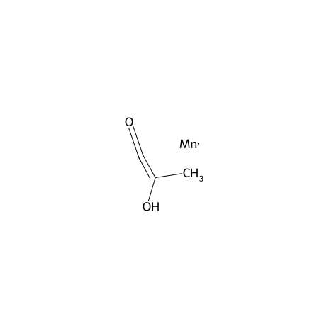 CC(O)=C=O.[Mn]